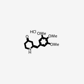 COc1cc(C=C2CC(=O)CCN2)cc(OC)c1OC.Cl